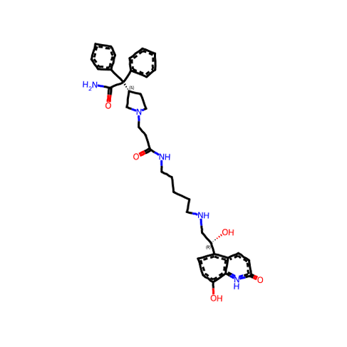 NC(=O)C(c1ccccc1)(c1ccccc1)[C@@H]1CCN(CCC(=O)NCCCCCNC[C@H](O)c2ccc(O)c3[nH]c(=O)ccc23)C1